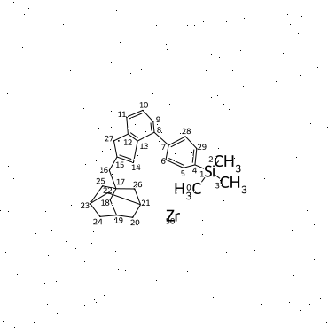 C[Si](C)(C)c1ccc(-c2cccc3c2C=C(CC24CC5CC(CC(C5)C2)C4)[CH]3)cc1.[Zr]